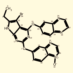 CCc1[nH]c2nc(Oc3ccc4c(c3)ncc[n+]4[O-])nc(Oc3ccc4nccnc4c3)c2c1Br